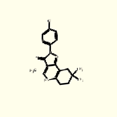 CC1(C)CCc2[nH]cc3c(=O)n(-c4ccc(Cl)cc4)nc-3c2C1.O